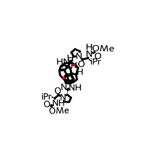 COC(=O)N[C@H](C(=O)N1CCC[C@H]1c1nc(C2=CC3=CC[C@@H]2CC[C@@H]2C=CC(=C(c4ccc5[nH]c([C@@H]6CCCN6C(=O)[C@@H](NC(=O)OC)C(C)C)nc5c4)C2)CC3)c[nH]1)C(C)C